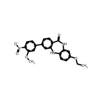 CCOc1ccc2c(c1)NC(=O)c1ccc(-c3ccc([N+](=O)[O-])c(OC)c3)cc1N2